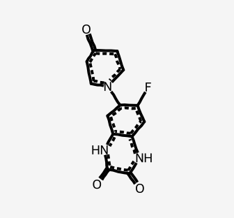 O=c1ccn(-c2cc3[nH]c(=O)c(=O)[nH]c3cc2F)cc1